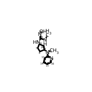 CN/C(=N\O)NC1CCC(N(C)c2ccccn2)C1